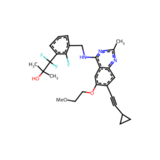 COCCOc1cc2c(NCc3cccc(C(F)(F)C(C)(C)O)c3F)nc(C)nc2cc1C#CC1CC1